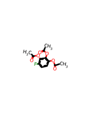 CC(=O)Oc1c[c]c(F)c(OC(C)=O)c1OC(C)=O